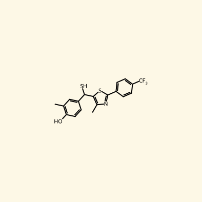 Cc1cc(C(S)c2sc(-c3ccc(C(F)(F)F)cc3)nc2C)ccc1O